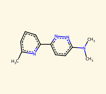 Cc1cccc(-c2ccc(N(C)C)nn2)n1